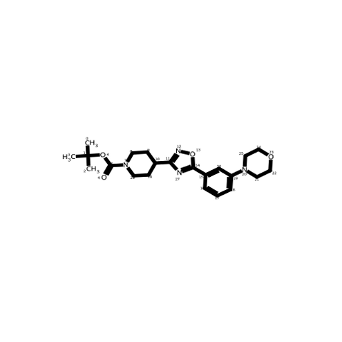 CC(C)(C)OC(=O)N1CCC(c2noc(-c3cccc(N4CCOCC4)c3)n2)CC1